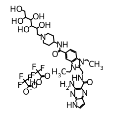 CCn1c(CNC(=O)c2nc3cc[nH]c3nc2N)[n+](CC)c2ccc(C(=O)NC3CCN(CC(O)C(O)C(O)C(O)CO)CC3)cc21.O=C(O)C(F)(F)F.O=C([O-])C(F)(F)F